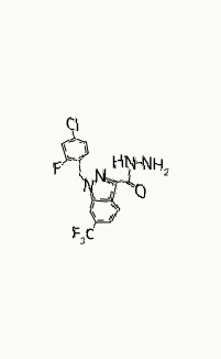 NNC(=O)c1nn(Cc2ccc(Cl)cc2F)c2cc(C(F)(F)F)ccc12